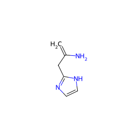 C=C(N)Cc1ncc[nH]1